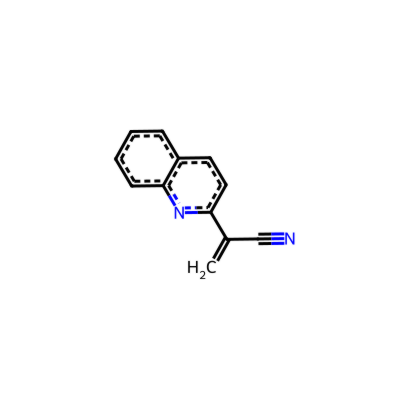 C=C(C#N)c1ccc2ccccc2n1